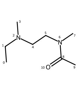 CCN(C)CCN(C)C(C)=O